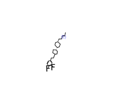 C/C=C/CC[C@H]1CC[C@H](C2CCC(CCc3ccc(F)c(F)c3)CC2)CC1